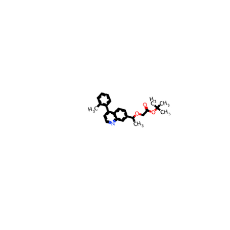 Cc1ccccc1-c1ccnc2cc(C(C)OCC(=O)OC(C)(C)C)ccc12